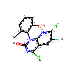 Cc1cccc(O)c1-n1c(=O)nc(Cl)c2cc(F)c(Cl)nc21